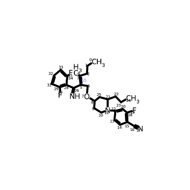 CCC/C(C)=C(\COC1CCN(c2ccc(C#N)c(F)c2)C(CCC)C1)C(=N)c1c(F)cccc1F